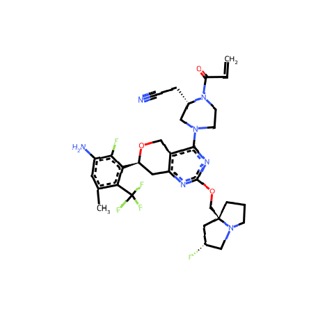 C=CC(=O)N1CCN(c2nc(OC[C@@]34CCCN3C[C@H](F)C4)nc3c2CO[C@H](c2c(F)c(N)cc(C)c2C(F)(F)F)C3)C[C@@H]1CC#N